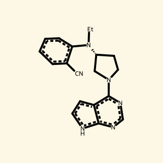 CCN(c1ccccc1C#N)[C@@H]1CCN(c2ncnc3[nH]ccc23)C1